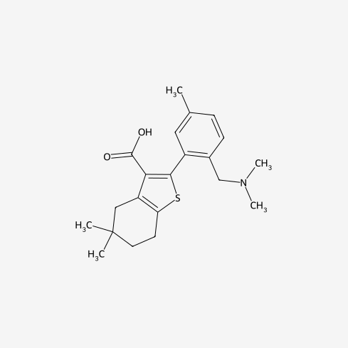 Cc1ccc(CN(C)C)c(-c2sc3c(c2C(=O)O)CC(C)(C)CC3)c1